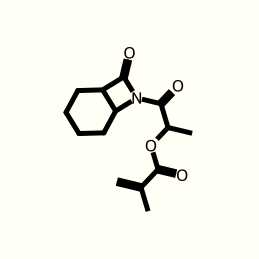 C=C(C)C(=O)OC(C)C(=O)N1C(=O)C2CCCCC21